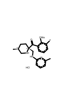 COc1c(F)cccc1C(=O)[C@@]1(CNc2cccc(C)n2)CC[C@H](C)CN1.Cl